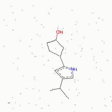 CC(C)c1c[nH]c(C2CCC(O)C2)c1